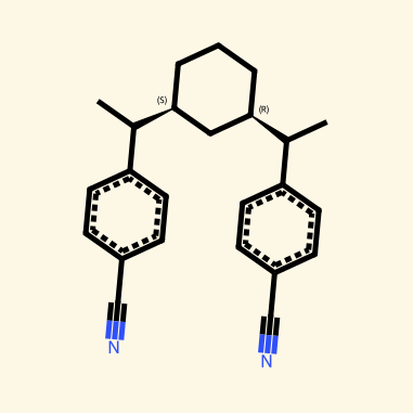 CC(c1ccc(C#N)cc1)[C@@H]1CCC[C@H](C(C)c2ccc(C#N)cc2)C1